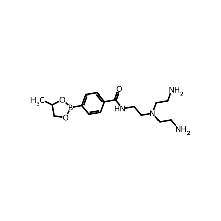 CC1COB(c2ccc(C(=O)NCCN(CCN)CCN)cc2)O1